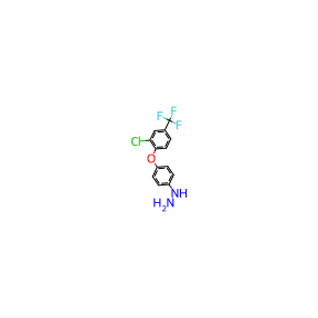 NNc1ccc(Oc2ccc(C(F)(F)F)cc2Cl)cc1